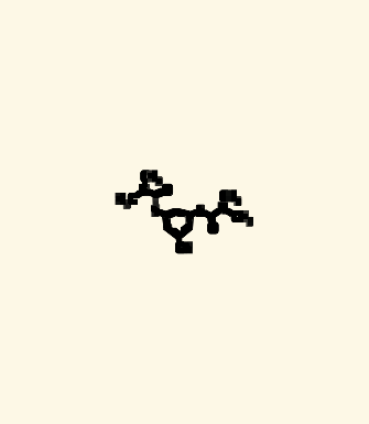 CN(C)C(=O)Sc1cc(C#N)cc(SC(=O)N(C)C)c1